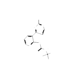 CC(C)(C)OC(=O)Nc1ncccc1-c1ccnc(Cl)n1